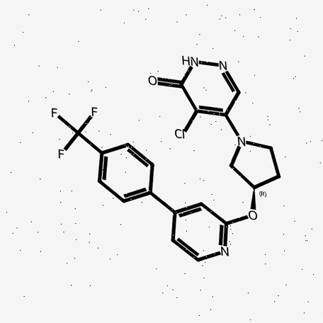 O=c1[nH]ncc(N2CC[C@@H](Oc3cc(-c4ccc(C(F)(F)F)cc4)ccn3)C2)c1Cl